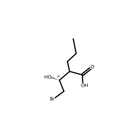 CCCC(C(=O)O)[C@@H](O)CBr